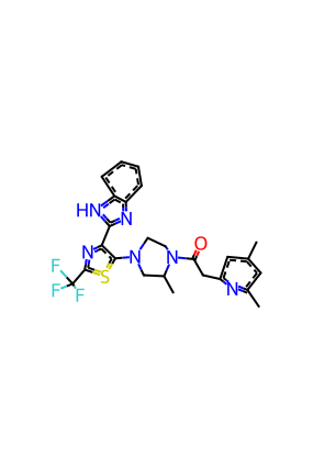 Cc1cc(C)nc(CC(=O)N2CCN(c3sc(C(F)(F)F)nc3-c3nc4ccccc4[nH]3)CC2C)c1